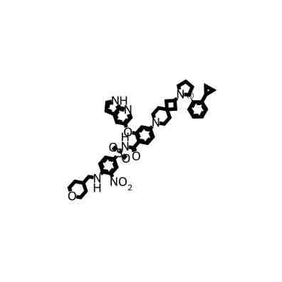 O=C(NS(=O)(=O)c1ccc(NCC2CCOCC2)c([N+](=O)[O-])c1)c1ccc(N2CCC3(CC2)CC(N2CCC[C@@H]2c2ccccc2C2CC2)C3)cc1Oc1cnc2[nH]ccc2c1